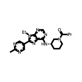 CCn1c(-c2cnc(C)nc2)nc2c(N[C@H]3CCCN(C(=O)C(C)C)C3)ncnc21